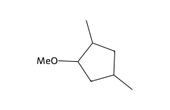 COC1CC(C)CC1C